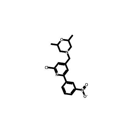 CC1CN(Cc2cc(Cl)nc(-c3cccc([N+](=O)[O-])c3)c2)CC(C)O1